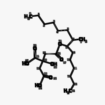 CCCCCCC(C)C(CCCCCC)OC(=O)CC(O)(CC(=O)O)C(=O)O